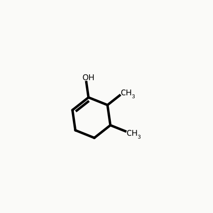 CC1CCC=C(O)C1C